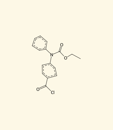 CCOC(=O)N(c1ccccc1)c1ccc(C(=O)Cl)cc1